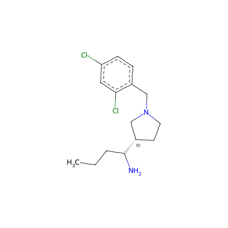 CCCC(N)[C@H]1CCN(Cc2ccc(Cl)cc2Cl)C1